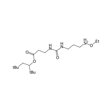 CCO[SiH2]CCCNC(=O)NCCC(=O)OC(CC(C)(C)C)C(C)(C)C